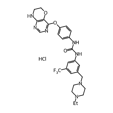 CCN1CCN(Cc2cc(NC(=O)Nc3ccc(Oc4ncnc5c4OCCN5)cc3)cc(C(F)(F)F)c2)CC1.Cl